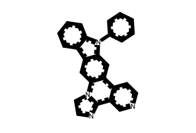 c1ccc(-n2c3ccccc3c3cc4c(cc32)c2ccncc2c2nccn42)cc1